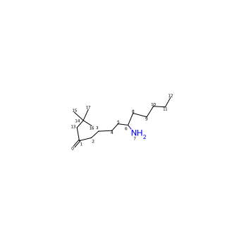 C=C(CCCCC(N)CCCCC)CC(C)(C)C